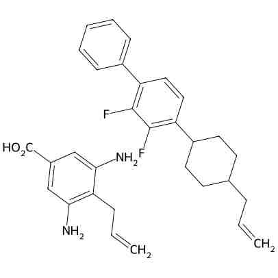 C=CCC1CCC(c2ccc(-c3ccccc3)c(F)c2F)CC1.C=CCc1c(N)cc(C(=O)O)cc1N